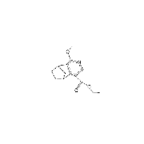 CCOC(=O)c1cnc(OC)c2c1C1CCC2C1